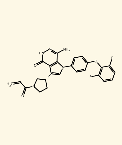 C=CC(=O)N1CC[C@@H](c2cn(-c3ccc(Oc4c(F)cccc4F)cc3)c3c(N)n[nH]c(=O)c23)C1